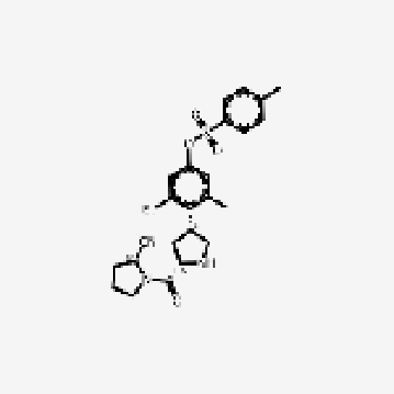 CCc1cc(OS(=O)(=O)c2ccc(C)cc2)cc(C)c1[C@@H]1CN[C@H](C(=O)N2CCC[C@H]2C#N)C1